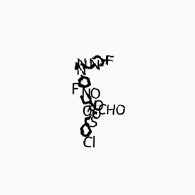 O=CON(C1CCN(c2ccc(-n3ccnc3CN3CCC(F)C3)cc2F)C1=O)S(=O)(=O)c1cc2ccc(Cl)cc2s1